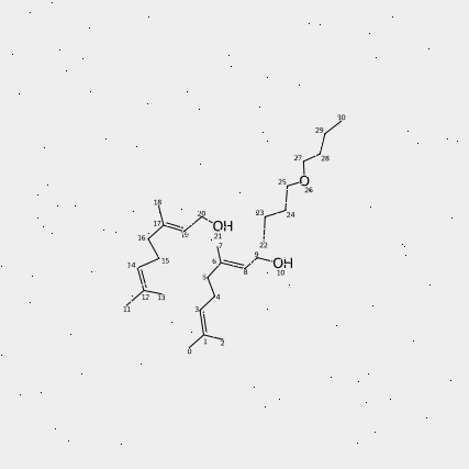 CC(C)=CCCC(C)=CCO.CC(C)=CCCC(C)=CCO.CCCCOCCCC